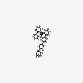 c1ccc2c(c1)B1c3cc(-c4ccc(-c5ccncc5)cc4)ccc3-c3ccccc3N1c1ccccc1-2